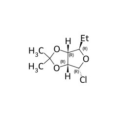 CC[C@H]1O[C@H](Cl)[C@@H]2OC(C)(C)O[C@@H]21